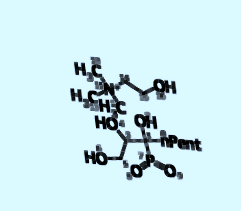 CCCCCC(O)(C(O)CO)P(=O)=O.C[N+](C)(C)CCO